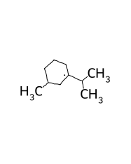 CC1CCC[C](C(C)C)C1